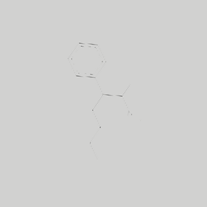 CCCCC(c1ccccc1)C(N)O